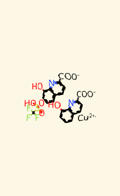 O=C([O-])c1ccc2cccc(O)c2n1.O=C([O-])c1ccc2cccc(O)c2n1.O=S(=O)(O)C(F)(F)F.[Cu+2]